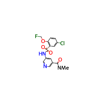 CNC(=O)c1cncc(NS(=O)(=O)c2cc(Cl)ccc2OCF)c1